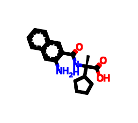 C[C@@](NC(=O)c1cc2ccccc2cc1N)(C(=O)O)C1CCCC1